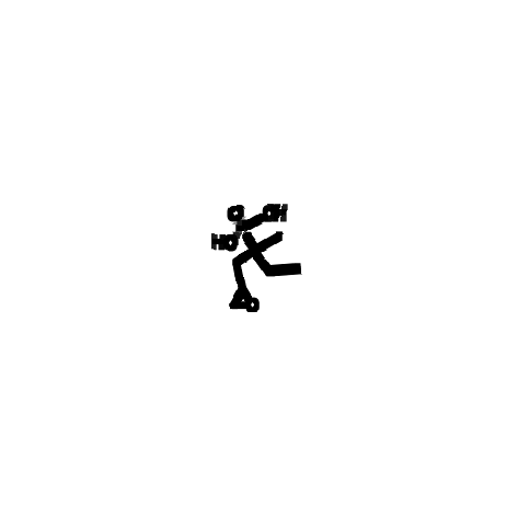 C=CC(C)(CC1CO1)P(=O)(O)O